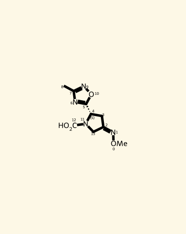 CON=C1C[C@@H](c2nc(C)no2)N(C(=O)O)C1